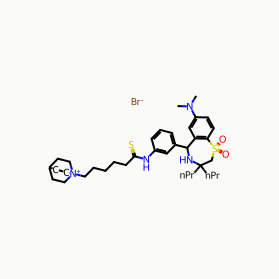 CCCC1(CCC)CS(=O)(=O)c2ccc(N(C)C)cc2C(c2cccc(NC(=S)CCCCC[N+]34CCC(CC3)CC4)c2)N1.[Br-]